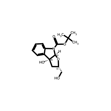 CC(C)(C)OC(=O)N1c2ccccc2[C@]2(O)C[C@@H](CO)O[C@H]12